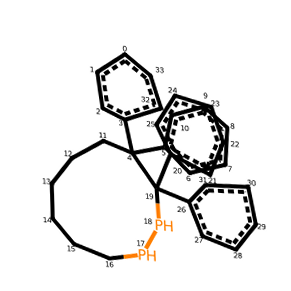 c1ccc(C2(c3ccccc3)CCCCCCPPC2(c2ccccc2)c2ccccc2)cc1